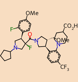 COC[C@H]1CN(C(=O)[C@]2(F)CN(C3CCCC3)C[C@H]2c2ccc(OC)cc2F)C[C@@H]1c1ccc(C(F)(F)F)cc1N1CCC(C(=O)O)CC1